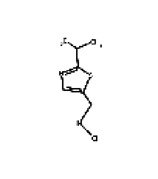 CC(C)c1ncc(CNCl)s1